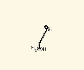 C[C@H](O)C#CCCCCCCCCCCCCc1ccccc1Br